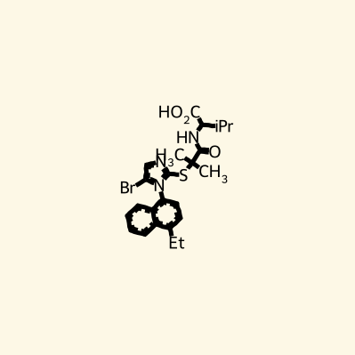 CCc1ccc(-n2c(Br)cnc2SC(C)(C)C(=O)NC(C(=O)O)C(C)C)c2ccccc12